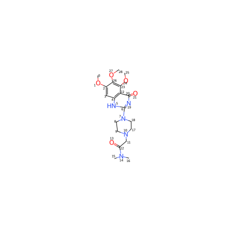 COc1cc2[nH]c(N3CCN(CC(=O)N(C)C)CC3)nc(=O)c2c(OC)c1OC